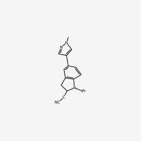 CC(C)N1c2ccc(-c3cnn(C)c3)cc2CC1CC#N